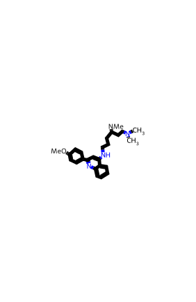 CNC(CCCNc1cc(-c2ccc(OC)cc2)nc2ccccc12)CCN(C)C